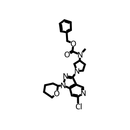 CN(C(=O)OCc1ccccc1)C1CCN(c2nn(C3CCCCO3)c3cc(Cl)ncc23)C1